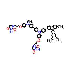 CCCCCCC1(CCCCCC)c2cc(C)ccc2-c2ccc(-c3ccc(N(c4ccc(OCCCn5ccc(=O)[nH]c5=O)cc4)c4ccc(-c5ccc(N(C)c6ccc(OCCCn7ccc(=O)[nH]c7=O)cc6)cc5)cc4)cc3)cc21